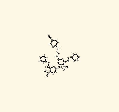 N#Cc1ccc(NCCNc2ccc([N+](=O)[O-])c(NCc3ccccc3)n2)nc1.Nc1ccc([N+](=O)[O-])c(NCc2ccccc2)n1